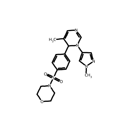 CC1=CN=CN(c2cnn(C)c2)C1c1ccc(S(=O)(=O)N2CCOCC2)cc1